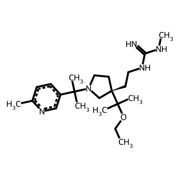 CCOC(C)(C)[C@@]1(CCNC(=N)NC)CCN(C(C)(C)c2ccc(C)nc2)C1